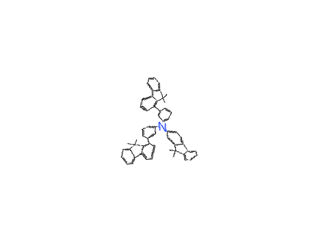 CC1(C)c2ccccc2-c2ccc(N(c3cccc(-c4cccc5c4C(C)(C)c4ccccc4-5)c3)c3cccc(-c4cccc5c4C(C)(C)c4ccccc4-5)c3)cc21